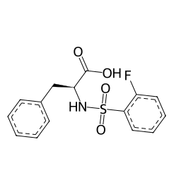 O=C(O)[C@H](Cc1ccccc1)NS(=O)(=O)c1ccccc1F